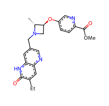 CCc1cc2ncc(CN3C[C@H](Oc4ccc(C(=O)OC)nc4)[C@H]3C)cc2[nH]c1=O